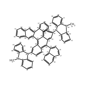 CN1c2ccccc2N(c2ccc3c(-c4cccc5ccccc45)c4cc(N5c6ccccc6N(C)c6ccccc65)ccc4c(-c4cc5ccccc5cc4-c4ccccc4)c3c2)c2ccccc21